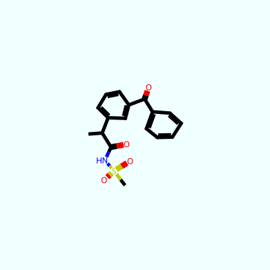 CC(C(=O)NS(C)(=O)=O)c1cccc(C(=O)c2ccccc2)c1